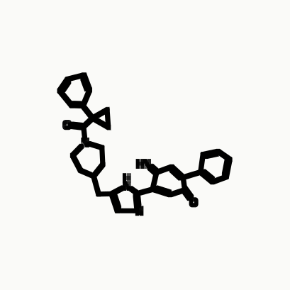 N=C1C=C(c2ccccc2)C(=O)C=C1c1ncc(CC2CCN(C(=O)C3(c4ccccc4)CC3)CC2)[nH]1